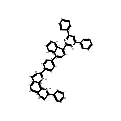 c1ccc(-c2cc(-c3ccccc3)nc(-c3ccc(-c4ccc(-c5ccc6ccc7ccc(-c8ccccc8)nc7c6n5)cc4)c4ccccc34)n2)cc1